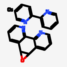 [Os].c1ccc(-c2ccccn2)nc1.c1cnc2c(c1)C1OC1c1cccnc1-2